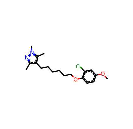 COc1ccc(OCCCCCCc2c(C)nn(C)c2C)c(Cl)c1